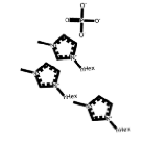 CCCCCC[n+]1ccn(C)c1.CCCCCC[n+]1ccn(C)c1.CCCCCC[n+]1ccn(C)c1.O=P([O-])([O-])[O-]